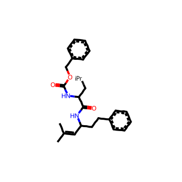 CC(C)=CC(CCc1ccccc1)NC(=O)C(CC(C)C)NC(=O)OCc1ccccc1